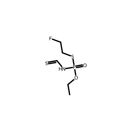 CCOP(=O)(NC=S)SCCF